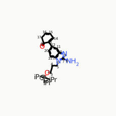 CC(C)[Si](OCCCn1c(N)nc2cc(C3=CC=CCC3=O)ccc21)(C(C)C)C(C)C